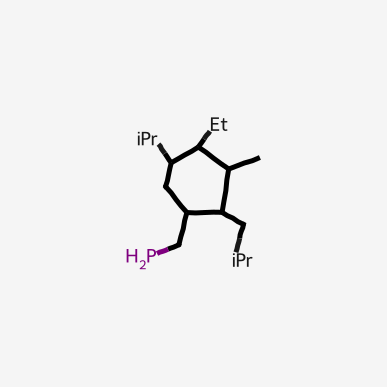 CCC1C(C)C(CC(C)C)C(CP)CC1C(C)C